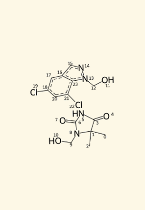 CC1(C)C(=O)NC(=O)N1CO.OCn1ncc2cc(Cl)cc(Cl)c21